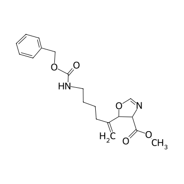 C=C(CCCCNC(=O)OCc1ccccc1)C1OC=NC1C(=O)OC